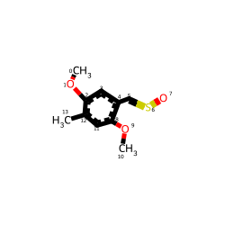 COc1cc(C=S=O)c(OC)cc1C